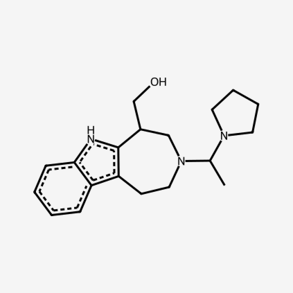 CC(N1CCCC1)N1CCc2c([nH]c3ccccc23)C(CO)C1